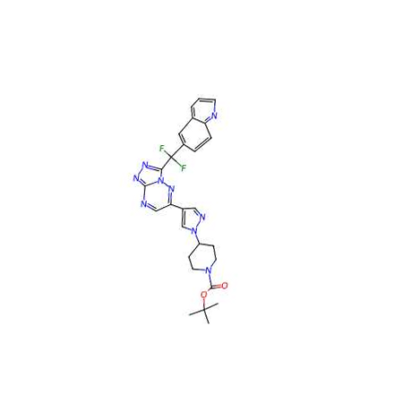 CC(C)(C)OC(=O)N1CCC(n2cc(-c3cnc4nnc(C(F)(F)c5ccc6ncccc6c5)n4n3)cn2)CC1